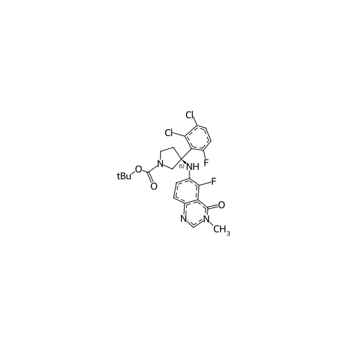 Cn1cnc2ccc(N[C@]3(c4c(F)ccc(Cl)c4Cl)CCN(C(=O)OC(C)(C)C)C3)c(F)c2c1=O